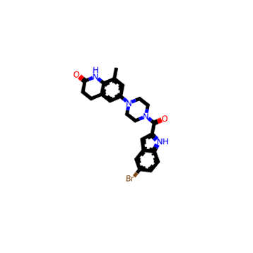 Cc1cc(N2CCN(C(=O)c3cc4cc(Br)ccc4[nH]3)CC2)cc2c1NC(=O)CC2